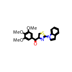 COc1cc(C(=O)C2CSC(n3ccc4ccccc43)=N2)cc(OC)c1OC